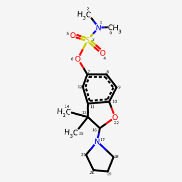 CN(C)S(=O)(=O)Oc1ccc2c(c1)C(C)(C)C(N1CCCC1)O2